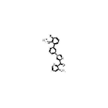 COc1c(F)cccc1-c1cccc(-n2cnc(C(=O)c3ncccc3C)c2)c1